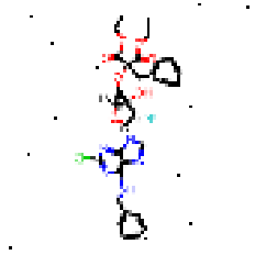 CCOC(=O)C(Cc1ccccc1)(OC1[C@H]2O[C@@H](n3cnc4c(NCc5ccccc5)nc(Cl)nc43)[C@@H](F)[C@@]12O)C(=O)OCC